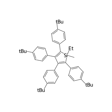 CC[Si]1(C)C(c2ccc(C(C)(C)C)cc2)=C(c2ccc(C(C)(C)C)cc2)C(c2ccc(C(C)(C)C)cc2)=C1c1ccc(C(C)(C)C)cc1